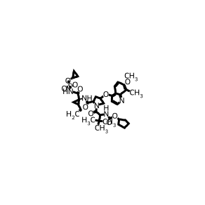 C=CC1C[C@]1(NC(=O)C1CC(Oc2ccnc3c(C)c(OC)ccc23)CN1C(=O)C(NC(=O)OC1CCCC1)C(C)(C)C)C(=O)NS(=O)(=O)OC1CC1